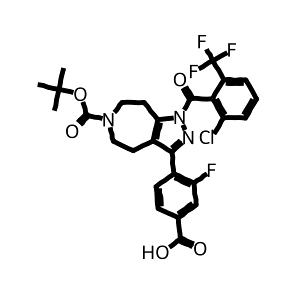 CC(C)(C)OC(=O)N1CCc2c(-c3ccc(C(=O)O)cc3F)nn(C(=O)c3c(Cl)cccc3C(F)(F)F)c2CC1